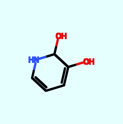 OC1=CC=CNC1O